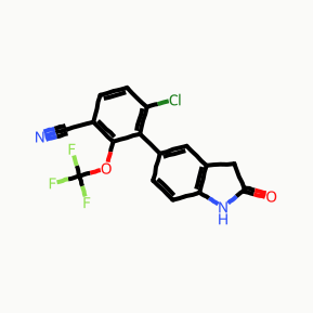 N#Cc1ccc(Cl)c(-c2ccc3c(c2)CC(=O)N3)c1OC(F)(F)F